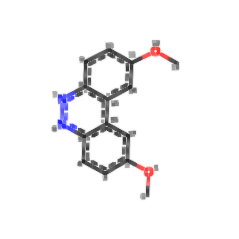 COc1ccc2nnc3ccc(OC)cc3c2c1